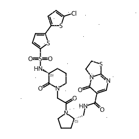 O=C(NC[C@@H]1CCCN1C(=O)CN1CCC[C@H](NS(=O)(=O)c2ccc(-c3ccc(Cl)s3)s2)C1=O)c1cnc2n(c1=O)CCS2